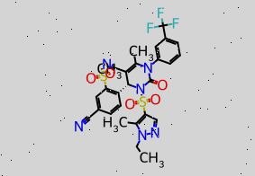 CCn1ncc(S(=O)(=O)N2C(=O)N(c3cccc(C(F)(F)F)c3)C(C)=C(C#N)[C@H]2c2ccc(C#N)cc2S(C)(=O)=O)c1C